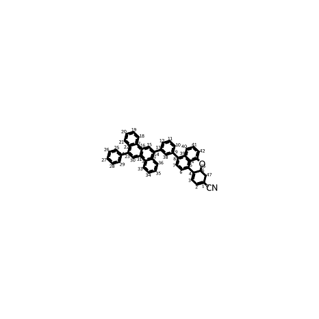 N#CC1=CC=C2c3ccc(-c4cccc(-c5cc6c7ccccc7c(-c7ccccc7)cc6c6ccccc56)c4)c4cccc(c34)OC2C1